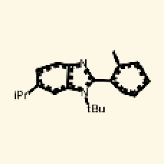 Cc1ccccc1-c1nc2ccc(C(C)C)cc2n1C(C)(C)C